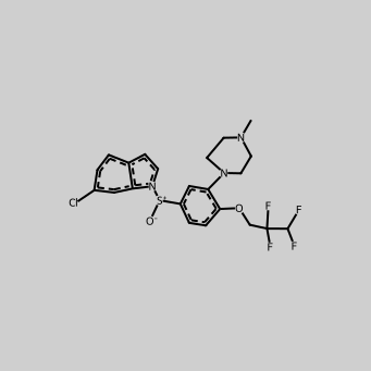 CN1CCN(c2cc([S+]([O-])n3ccc4ccc(Cl)cc43)ccc2OCC(F)(F)C(F)F)CC1